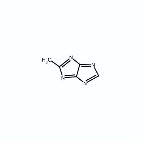 CC1=NC2=NC=NC2=N1